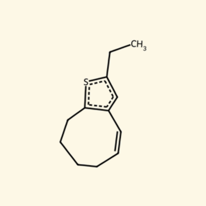 CCc1cc2c(s1)CCCC/C=C\2